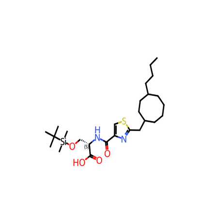 CCCCC1CCCCC(Cc2nc(C(=O)N[C@@H](CO[Si](C)(C)C(C)(C)C)C(=O)O)cs2)CC1